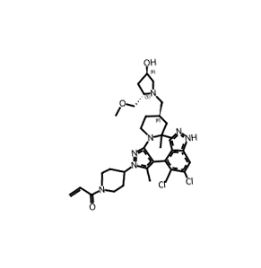 C=CC(=O)N1CCC(n2nc(N3CC[C@@H](CN4C[C@H](O)C[C@H]4COC)CC3(C)C)c(-c3c(Cl)c(Cl)cc4[nH]ncc34)c2C)CC1